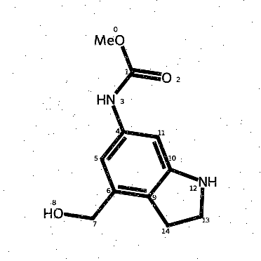 COC(=O)Nc1cc(CO)c2c(c1)NCC2